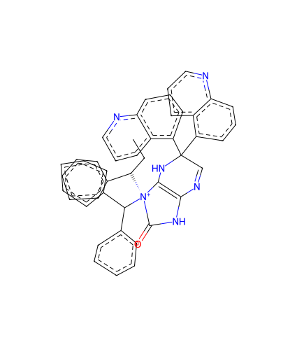 CCC(c1ccccc1)[N@@+]1(C(c2ccccc2)c2ccccc2)C(=O)NC2=C1NC(c1cccc3ncccc13)(c1cccc3ncccc13)C=N2